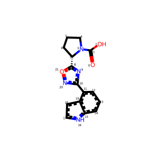 O=C(O)N1CCC[C@H]1c1nc(-c2cccc3[nH]ccc23)no1